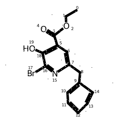 CCOC(=O)c1cc(Cc2ccccc2)nc(Br)c1O